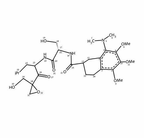 COc1c2c(c(N(C)C)c(OC)c1OC)CC(C(=O)N[C@@H](CO)C(=O)NC(CC(C)C)C(=O)C1(CO)CO1)CC2